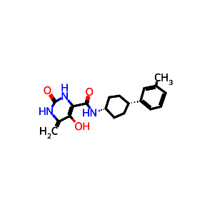 C=C1NC(=O)NC(C(=O)N[C@H]2CC[C@@H](c3cccc(C)c3)CC2)=C1O